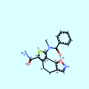 CN(C(=O)c1ccccc1)c1sc(C(N)=O)c2c1-c1oncc1CC2